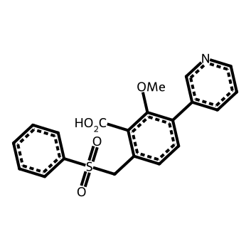 COc1c(-c2cccnc2)ccc(CS(=O)(=O)c2ccccc2)c1C(=O)O